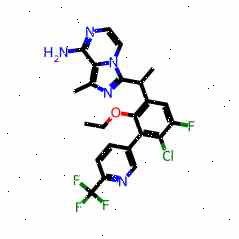 CCOc1c(C(C)c2nc(C)c3c(N)nccn23)cc(F)c(Cl)c1-c1ccc(C(F)(F)F)nc1